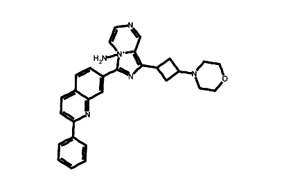 N[N+]12C=CN=CC1=C(C1CC(N3CCOCC3)C1)N=C2c1ccc2ccc(-c3ccccc3)nc2c1